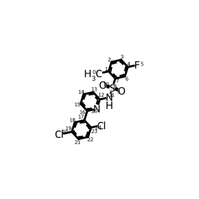 Cc1ccc(F)cc1S(=O)(=O)Nc1cccc(-c2cc(Cl)ccc2Cl)n1